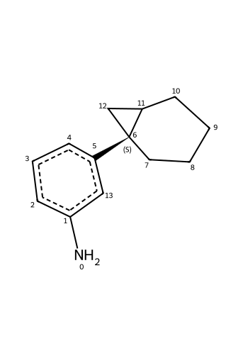 Nc1cccc([C@]23CCCCC2C3)c1